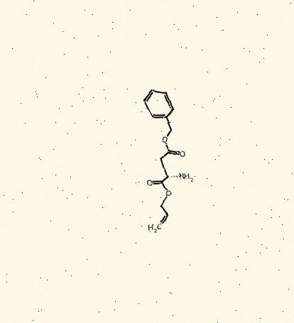 C=CCOC(=O)[C@@H](N)CC(=O)OCc1ccccc1